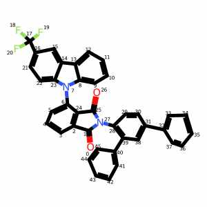 O=C1c2cccc(-n3c4ccccc4c4cc(C(F)(F)F)ccc43)c2C(=O)N1c1ccc(-c2ccccc2)cc1-c1ccccc1